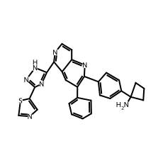 NC1(c2ccc(-c3nc4ccnc(-c5nc(-c6cncs6)n[nH]5)c4cc3-c3ccccc3)cc2)CCC1